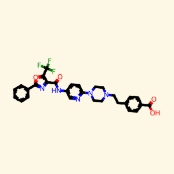 O=C(O)c1ccc(CCN2CCN(c3ccc(NC(=O)c4nc(-c5ccccc5)oc4C(F)(F)F)cn3)CC2)cc1